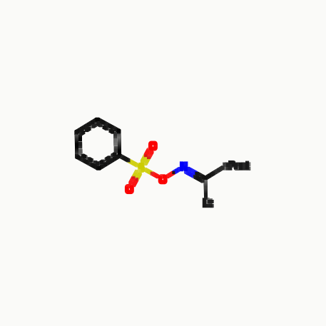 CCCCC/C(CC)=N/OS(=O)(=O)c1ccccc1